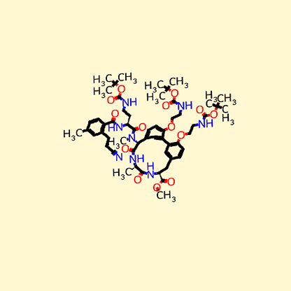 COC(=O)[C@@H]1Cc2ccc(OCCNC(=O)OC(C)(C)C)c(c2)-c2cc(ccc2OCCNC(=O)OC(C)(C)C)[C@H](N(C)C(=O)[C@H](CCNC(=O)OC(C)(C)C)NC(=O)c2ccc(C)cc2CCC#N)C(=O)N[C@@H](C)C(=O)N1